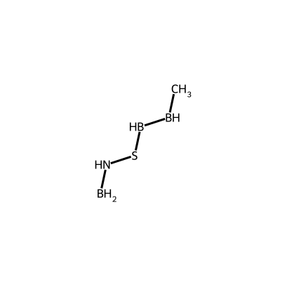 BNSBBC